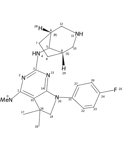 CNc1nc(NC2[C@@H]3CC[C@H]2CNC3)nc2c1C(C)(C)CN2c1ccc(F)cc1